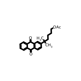 CC(=O)OCCCCC(C)(C)c1ccc2c(c1)C(=O)c1ccccc1C2=O